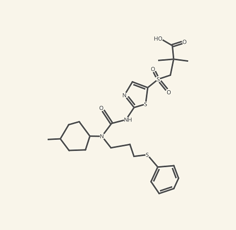 CC1CCC(N(CCCSc2ccccc2)C(=O)Nc2ncc(S(=O)(=O)CC(C)(C)C(=O)O)s2)CC1